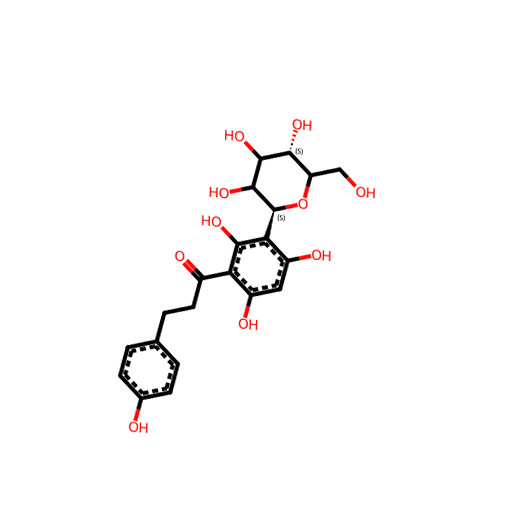 O=C(CCc1ccc(O)cc1)c1c(O)cc(O)c([C@@H]2OC(CO)[C@@H](O)C(O)C2O)c1O